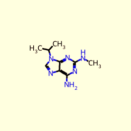 CNc1nc(N)c2ncn(C(C)C)c2n1